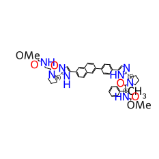 COC(=O)NCC(=O)N1CCC[C@H]1c1ncc(-c2ccc3cc(-c4ccc(-c5cnc([C@@H]6CCCN6C(=O)[C@@](C)(NC(=O)OC)c6ccccc6)[nH]5)cc4)ccc3c2)[nH]1